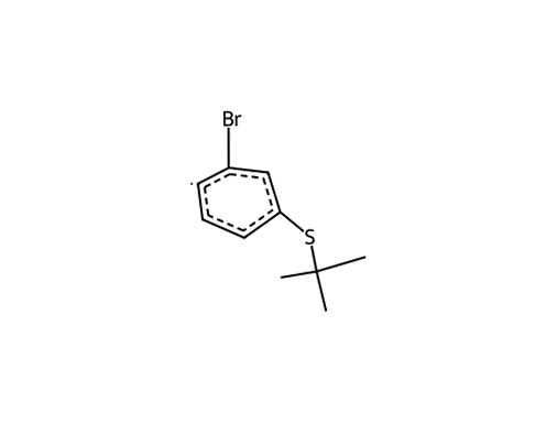 CC(C)(C)Sc1cc[c]c(Br)c1